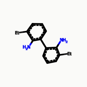 CCc1cccc(-c2cccc(CC)c2N)c1N